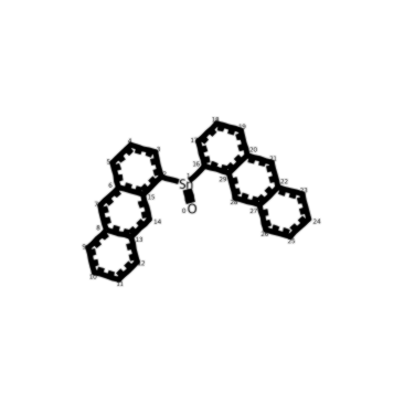 [O]=[Sn]([c]1cccc2cc3ccccc3cc12)[c]1cccc2cc3ccccc3cc12